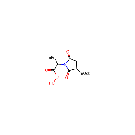 CCCCCCCCC1CC(=O)N(C(CCCC)C(=O)OO)C1=O